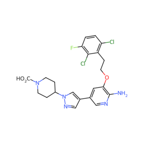 Nc1ncc(-c2cnn(C3CCN(C(=O)O)CC3)c2)cc1OCCc1c(Cl)ccc(F)c1Cl